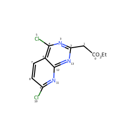 CCOC(=O)Cc1nc(Cl)c2ccc(Cl)nc2n1